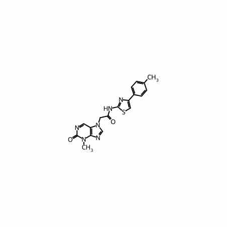 Cc1ccc(-c2csc(NC(=O)Cn3cnc4c3cnc(=O)n4C)n2)cc1